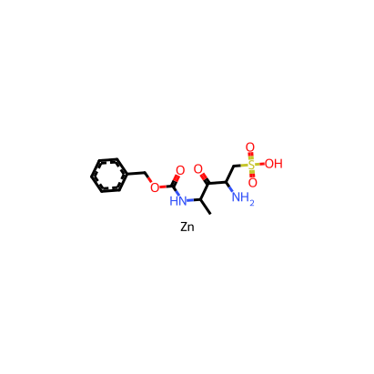 CC(NC(=O)OCc1ccccc1)C(=O)C(N)CS(=O)(=O)O.[Zn]